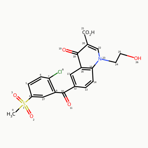 CS(=O)(=O)c1ccc(Cl)c(C(=O)c2ccc3c(c2)c(=O)c(C(=O)O)cn3CCO)c1